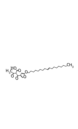 CCCCCCCCC=CCCCCCCCCOc1cc(C(=O)C(C(C)=O)C(=O)O)co1